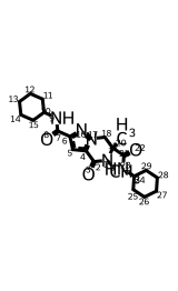 CN1C(=O)c2cc(C(=O)NC3CCCCC3)nn2CC1(C)C(=O)NC1CCCCC1